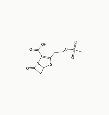 CS(=O)(=O)OCCC1=C(C(=O)O)N2C(=O)CC2S1